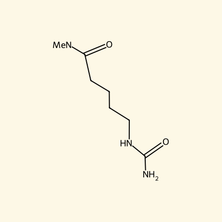 CNC(=O)CCCCNC(N)=O